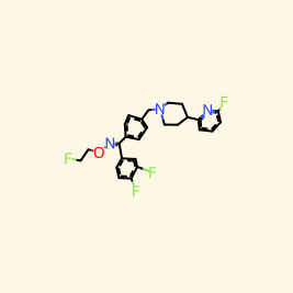 FCCO/N=C(/c1ccc(CN2CCC(c3cccc(F)n3)CC2)cc1)c1ccc(F)c(F)c1